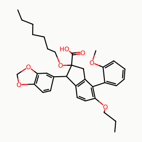 CCCCCCCOC1(C(=O)O)Cc2c(ccc(OCCC)c2-c2ccccc2OC)C1c1ccc2c(c1)OCO2